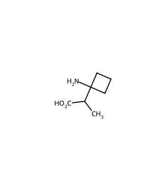 CC(C(=O)O)C1(N)CCC1